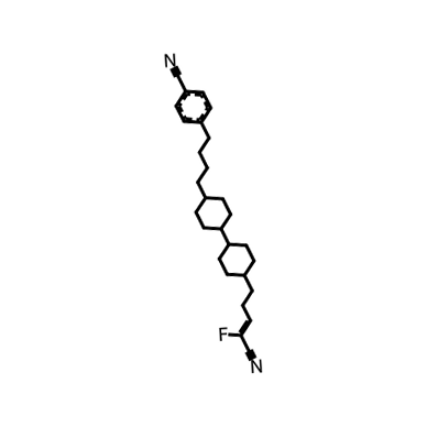 N#CC(F)=CCCC1CCC(C2CCC(CCCCc3ccc(C#N)cc3)CC2)CC1